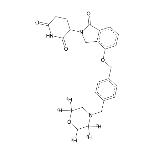 [2H]C1OC([2H])([2H])CN(Cc2ccc(COc3cccc4c3CN(C3CCC(=O)NC3=O)C4=O)cc2)C1([2H])[2H]